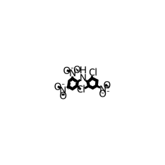 Cc1cc([N+](=O)[O-])cc([N+](=O)[O-])c1Nc1c(Cl)cc([N+](=O)[O-])cc1Cl